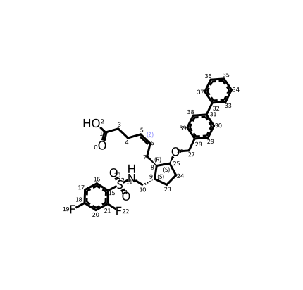 O=C(O)CC/C=C\C[C@@H]1[C@@H](CNS(=O)(=O)c2ccc(F)cc2F)CC[C@@H]1OCc1ccc(-c2ccccc2)cc1